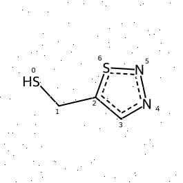 SCc1cnns1